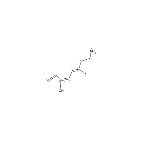 C=C/C(O)=C\C=C(/C)CCN